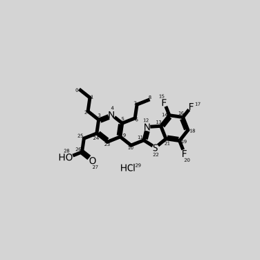 CCCc1nc(CCC)c(Cc2nc3c(F)c(F)cc(F)c3s2)cc1CC(=O)O.Cl